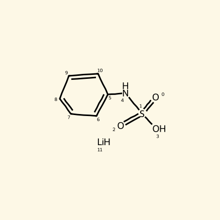 O=S(=O)(O)Nc1ccccc1.[LiH]